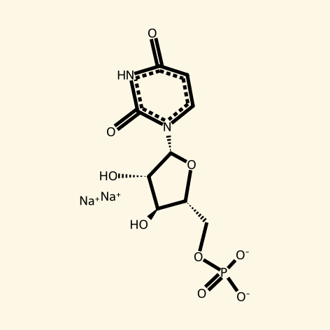 O=c1ccn([C@@H]2O[C@H](COP(=O)([O-])[O-])[C@@H](O)[C@@H]2O)c(=O)[nH]1.[Na+].[Na+]